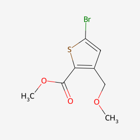 COCc1cc(Br)sc1C(=O)OC